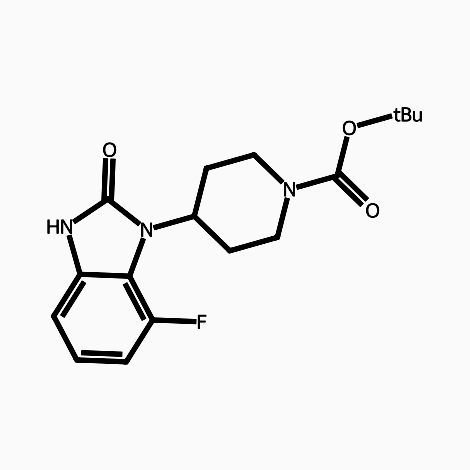 CC(C)(C)OC(=O)N1CCC(n2c(=O)[nH]c3cccc(F)c32)CC1